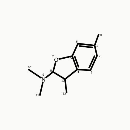 Cc1ccc2c(c1)OC(N(C)C)C2C